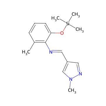 Cc1cccc(O[Si](C)(C)C)c1N=Cc1cnn(C)c1